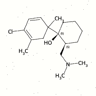 CC1=C(Cl)C=CC(C)([C@]2(O)CCCC[C@H]2CN(C)C)C1